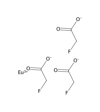 O=C([O-])CF.O=C([O-])CF.O=C([O-])CF.[Eu+3]